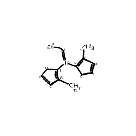 CC[CH]=[Ti]([C]1=C(C)C=CC1)[C]1=C(C)C=CC1